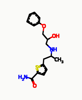 CC(Cc1ccc(C(N)=O)s1)NCC(O)COc1ccccc1